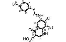 CCc1c(Cl)c(NCCc2ccc(Br)cc2)cc2c(=O)c(C(=O)O)c[nH]c12